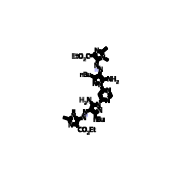 CCCCc1nn(-c2cc(-n3nc(CCCC)c(/N=N/c4c(C(=O)OCC)nc(C)n4C)c3N)ncn2)c(N)c1/N=N/c1c(C(=O)OCC)nc(C)n1C